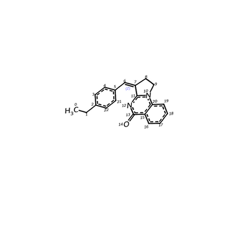 CCc1ccc(/C=C2/CCn3c2nc(=O)c2ccccc23)cc1